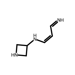 N=C/C=C\NC1CNC1